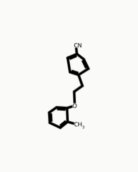 Cc1ccccc1OCCc1ccc(C#N)cc1